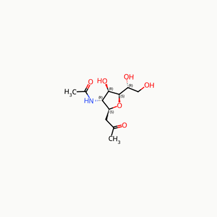 CC(=O)C[C@@H]1O[C@H]([C@H](O)CO)[C@H](O)[C@H]1NC(C)=O